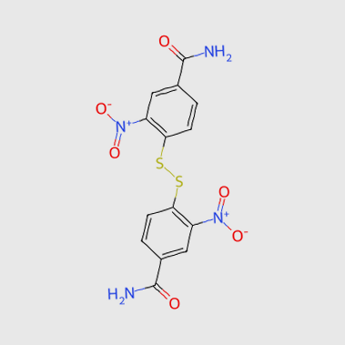 NC(=O)c1ccc(SSc2ccc(C(N)=O)cc2[N+](=O)[O-])c([N+](=O)[O-])c1